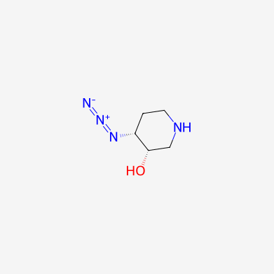 [N-]=[N+]=N[C@@H]1CCNC[C@@H]1O